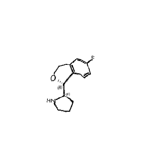 Fc1ccc2c(c1)CO[C@H]2[C@H]1CCCN1